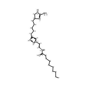 CCCCCCCCCC(=O)NCCn1cc(CCCCCC2CNC(N)=N2)nn1